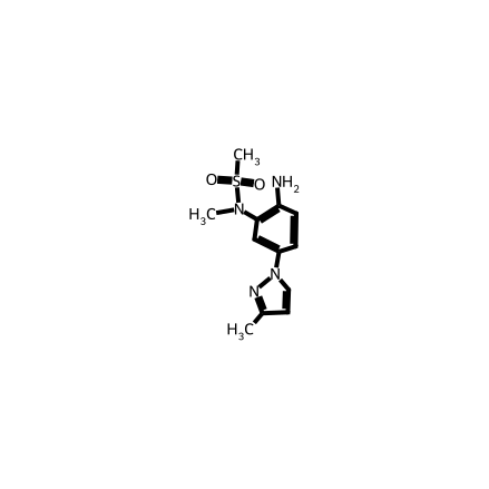 Cc1ccn(-c2ccc(N)c(N(C)S(C)(=O)=O)c2)n1